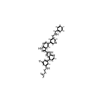 CN(C)CCNc1cc(F)cc(-c2ccnc3[nH]c(-c4n[nH]c5ncc(-c6cncc(CNCc7ccccc7)c6)cc45)nc23)c1